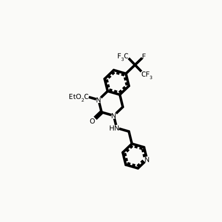 CCOC(=O)N1C(=O)N(NCc2cccnc2)Cc2cc(C(F)(C(F)(F)F)C(F)(F)F)ccc21